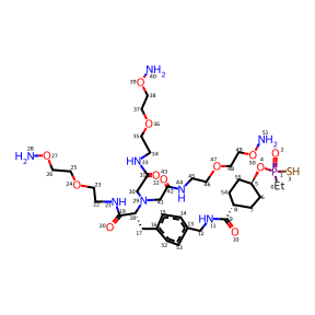 CCP(=O)(S)O[C@H]1CC[C@H](C(=O)NCc2ccc(C[C@H](C(=O)NCCOCCON)N(CC(=O)NCCOCCON)CC(=O)NCCOCCON)cc2)CC1